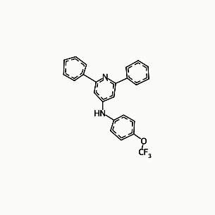 FC(F)(F)Oc1ccc(Nc2cc(-c3ccccc3)nc(-c3ccccc3)c2)cc1